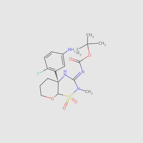 CN1/C(=N/C(=O)OC(C)(C)C)N[C@@]2(c3cc(N)ccc3F)CCCOC2S1(=O)=O